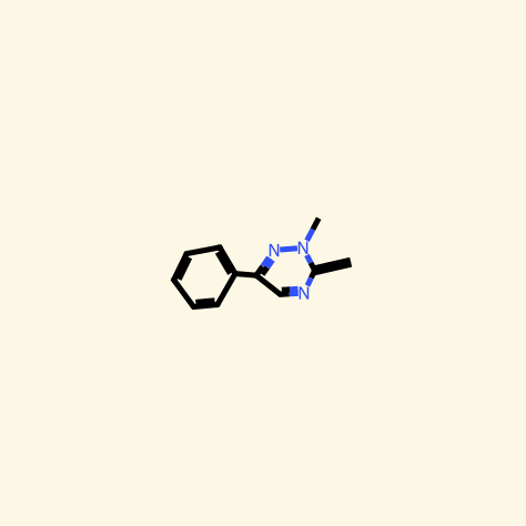 C=C1N=CC(c2ccccc2)=NN1C